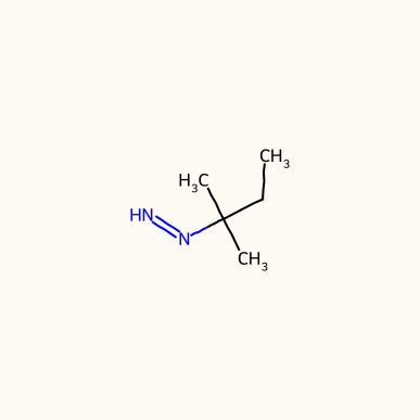 CCC(C)(C)N=N